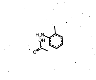 CS(=O)O.Cc1ccccc1N